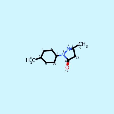 CC1=NN(C2CCC(C)CC2)C(=O)C1